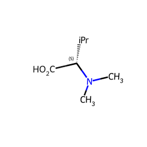 CC(C)[C@@H](C(=O)O)N(C)C